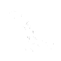 C=CC(=O)N1CCC[C@@H](n2cc(Nc3ncc(C(N)=O)c(NCCC(C)(C)O)n3)cn2)C1